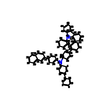 c1ccc(-c2ccc(N(c3ccc(-c4ccc5ccccc5c4)cc3)c3ccc(-c4ccccc4-c4ccccc4-n4c5ccccc5c5ccccc54)cc3)cc2)cc1